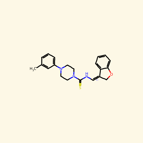 Cc1cccc(N2CCN(C(=S)N/C=C3/COc4ccccc43)CC2)c1